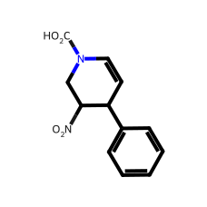 O=C(O)N1C=CC(c2ccccc2)C([N+](=O)[O-])C1